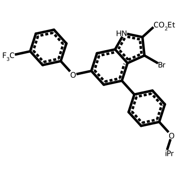 CCOC(=O)c1[nH]c2cc(Oc3cccc(C(F)(F)F)c3)cc(-c3ccc(OC(C)C)cc3)c2c1Br